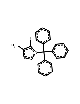 Cc1ncn(C(c2ccccc2)(c2ccccc2)c2ccccc2)c1I